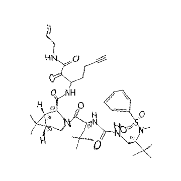 C#CCCC(NC(=O)[C@@H]1[C@@H]2[C@H](CN1C(=O)[C@@H](NC(=O)NC[C@@H](N(C)S(=O)(=O)c1ccccc1)C(C)(C)C)C(C)(C)C)C2(C)C)C(=O)C(=O)NCC=C